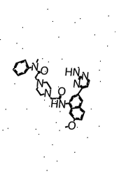 CNc1nccc(-c2cc(NC(=O)CN3CCN(CC(=O)N(C)c4ccccc4)CC3)c3cc(OC)ccc3c2)n1